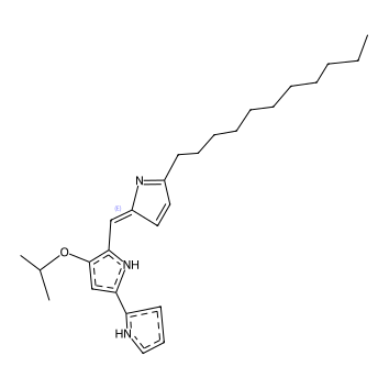 CCCCCCCCCCCC1=N/C(=C/c2[nH]c(-c3ccc[nH]3)cc2OC(C)C)C=C1